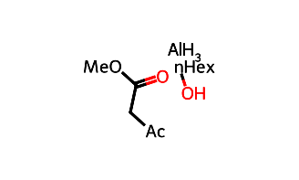 CCCCCCO.COC(=O)CC(C)=O.[AlH3]